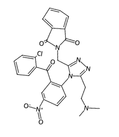 CN(C)CCc1nnc(CN2C(=O)c3ccccc3C2=O)n1-c1ccc([N+](=O)[O-])cc1C(=O)c1ccccc1Cl